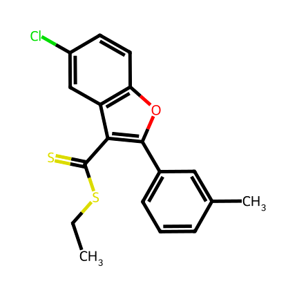 CCSC(=S)c1c(-c2cccc(C)c2)oc2ccc(Cl)cc12